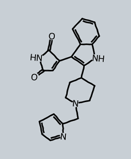 O=C1C=C(c2c(C3CCN(Cc4ccccn4)CC3)[nH]c3ccccc23)C(=O)N1